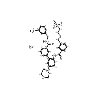 O=C(NCc1cccc(C(F)(F)F)c1)c1ccnc(-c2cc(N3CCCCC3)ccc2NC(=O)c2cccc(CSCCS(=O)(=O)[O-])c2)c1.[Na+]